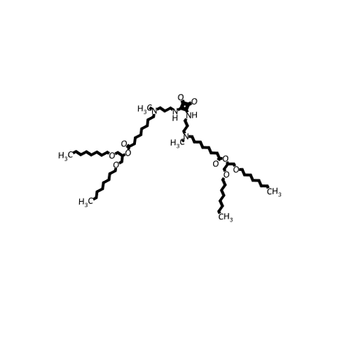 CCCCCCCCOCC(COCCCCCCCC)OC(=O)CCCCCCCN(C)CCCNc1c(NCCCN(C)CCCCCCCC(=O)OC(COCCCCCCCC)COCCCCCCCC)c(=O)c1=O